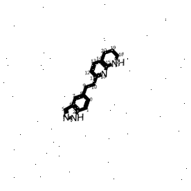 c1cc2[nH]ncc2cc1CCc1ccc2c(n1)NCCC2